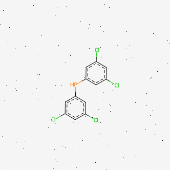 Clc1cc(Cl)cc(Pc2cc(Cl)cc(Cl)c2)c1